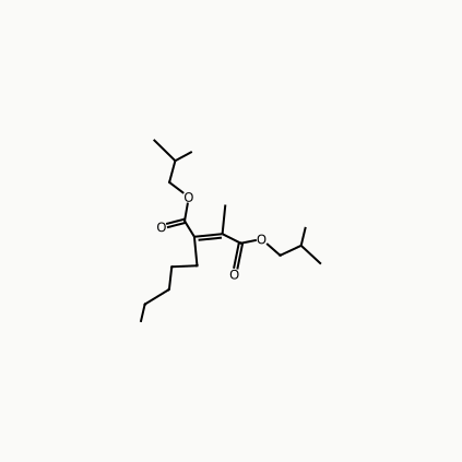 CCCCCC(C(=O)OCC(C)C)=C(C)C(=O)OCC(C)C